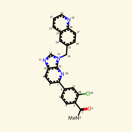 CNC(=O)c1ccc(-c2ccc3ncn(Cc4ccc5ncccc5c4)c3n2)cc1Cl